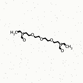 C=CN(C=O)CCOCCOCCOCCN(C=C)C=O